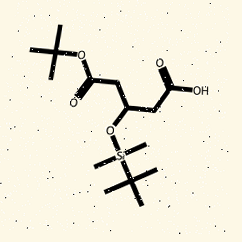 CC(C)(C)OC(=O)CC(CC(=O)O)O[Si](C)(C)C(C)(C)C